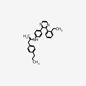 C=C(Cc1ccc(CCC)cc1)Nc1ccc(-c2nccnc2-c2ccccc2CC)cc1